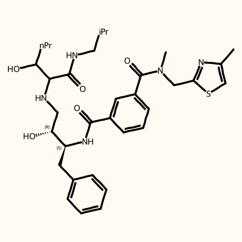 CCCC(O)C(NC[C@@H](O)[C@H](Cc1ccccc1)NC(=O)c1cccc(C(=O)N(C)Cc2nc(C)cs2)c1)C(=O)NCC(C)C